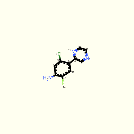 Nc1cc(Cl)c(-c2cnccn2)cc1F